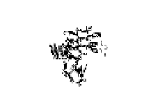 COc1ccc2cccnc2c1Cc1c(SC)nn(-c2cc(Cl)c(Cl)cc2Cl)c1N(C)C